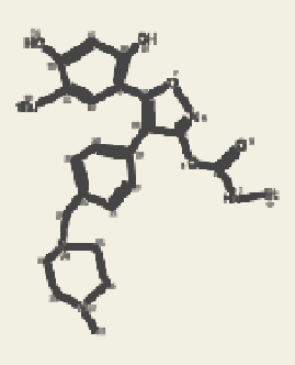 CCNC(=O)Oc1noc(-c2cc(C(C)(C)C)c(O)cc2O)c1-c1ccc(CN2CCN(C)CC2)cc1